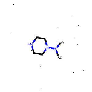 CC(=O)N(C(C)C)N1CCNCC1